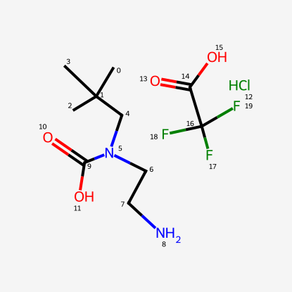 CC(C)(C)CN(CCN)C(=O)O.Cl.O=C(O)C(F)(F)F